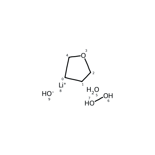 C1CCOC1.O.OO.[Li+].[OH-]